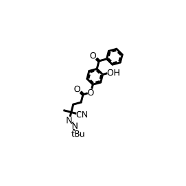 CC(C)(C)N=NC(C)(C#N)CCC(=O)Oc1ccc(C(=O)c2ccccc2)c(O)c1